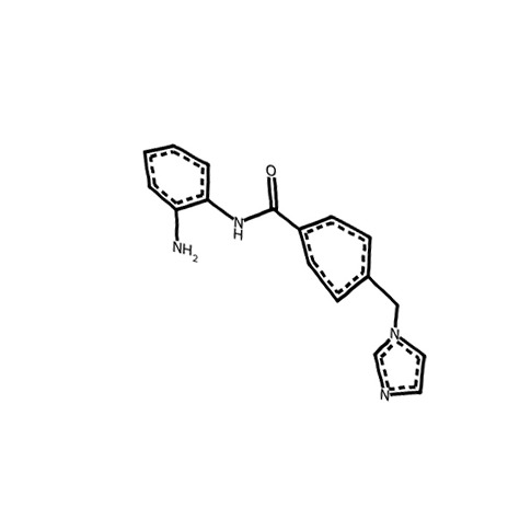 Nc1ccccc1NC(=O)c1ccc(Cn2ccnc2)cc1